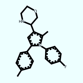 Cc1ccc(-c2cc(C3COCCN3)c(C)n2-c2ccc(F)cc2)cc1